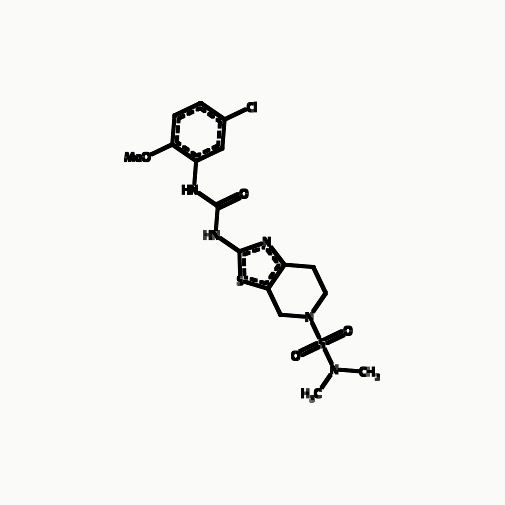 COc1ccc(Cl)cc1NC(=O)Nc1nc2c(s1)CN(S(=O)(=O)N(C)C)CC2